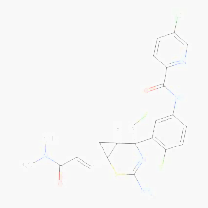 CN(C)C(=O)C=C[C@]12C[C@H]1[C@@](CF)(c1cc(NC(=O)c3ccc(Cl)cn3)ccc1F)N=C(N)S2